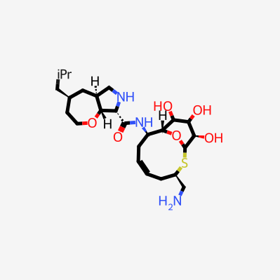 CC(C)C[C@@H]1CCO[C@@H]2[C@H](CN[C@@H]2C(=O)N[C@@H]2C/C=C\C[C@H](CN)SC3O[C@H]2C(O)C(O)[C@H]3O)C1